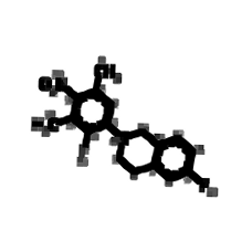 Cc1cc(N2CCc3cc(F)ccc3C2)c(F)c(C)c1[N+](=O)[O-]